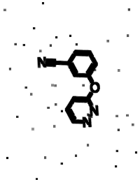 N#Cc1cccc(Oc2cccnn2)c1